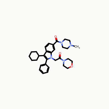 CN1CCN(C(=O)c2ccc3c(C4CCCCC4)c(-c4ccccc4)n(CC(=O)N4CCOCC4)c3c2)CC1